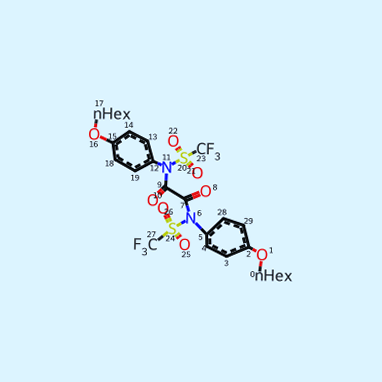 CCCCCCOc1ccc(N(C(=O)C(=O)N(c2ccc(OCCCCCC)cc2)S(=O)(=O)C(F)(F)F)S(=O)(=O)C(F)(F)F)cc1